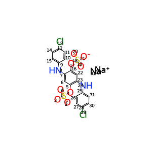 O=S(=O)([O-])Oc1cc(Nc2ccc(Cl)cc2)c(OS(=O)(=O)[O-])cc1Nc1ccc(Cl)cc1.[Na+].[Na+]